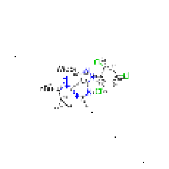 CCCCC(Nc1nc(C)nc2c1c(SC)nn2-c1c(Cl)cc(Cl)cc1Cl)C1CC1